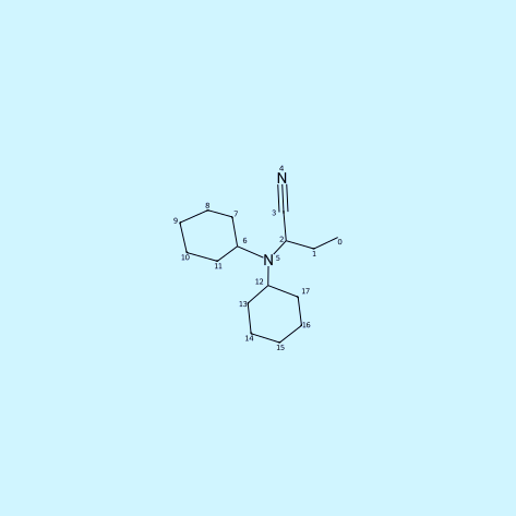 CCC(C#N)N(C1CCCCC1)C1CCCCC1